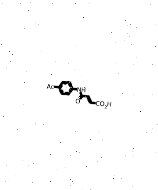 CC(=O)c1ccc(NC(=O)C=CC(=O)O)cc1